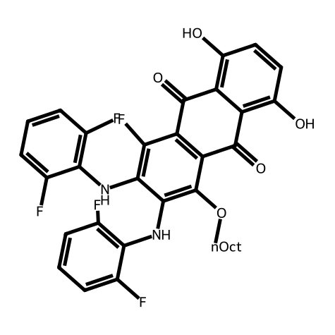 CCCCCCCCOc1c(Nc2c(F)cccc2F)c(Nc2c(F)cccc2F)c(F)c2c1C(=O)c1c(O)ccc(O)c1C2=O